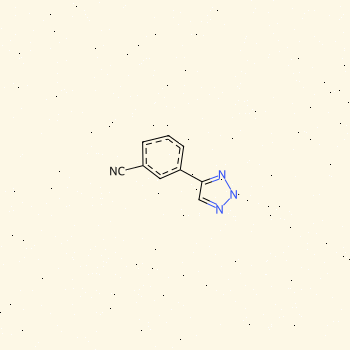 N#Cc1cccc(C2=N[N]N=C2)c1